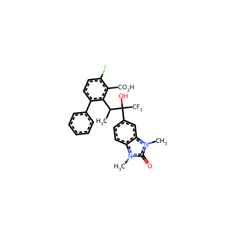 CC(c1c(-c2ccccc2)ccc(F)c1C(=O)O)C(O)(c1ccc2c(c1)n(C)c(=O)n2C)C(F)(F)F